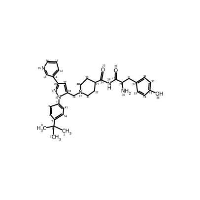 CC(C)(C)c1ccc(-n2nc(-c3cccnc3)cc2CN2CCC(C(=O)NC(=O)C(N)Cc3ccc(O)cc3)CC2)cc1